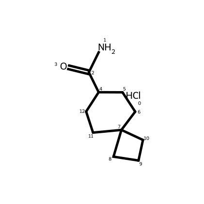 Cl.NC(=O)C1CCC2(CCC2)CC1